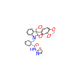 O=C(Nc1nccs1)c1ccccc1CN1C(=O)C2(COc3cc4c(cc32)OCO4)c2ccccc21